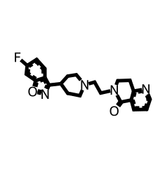 O=C1c2cccnc2CCN1CCN1CCC(c2noc3cc(F)ccc23)CC1